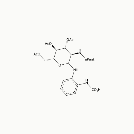 CCCCCN[C@H]1C(Nc2ccccc2NC(=O)O)O[C@H](COC(C)=O)[C@@H](OC(C)=O)[C@@H]1OC(C)=O